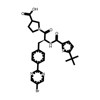 CC(C)(C)c1ccc(C(=O)N[C@@H](Cc2ccc(-c3ncc(Br)cn3)cc2)C(=O)N2CCC(C(=O)O)C2)s1